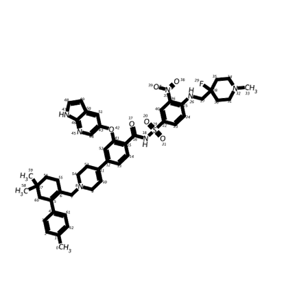 Cc1ccc(C2=C(CN3CC=C(c4ccc(C(=O)NS(=O)(=O)c5ccc(NCC6(F)CCN(C)CC6)c([N+](=O)[O-])c5)c(Oc5cnc6[nH]ccc6c5)c4)CC3)CCC(C)(C)C2)cc1